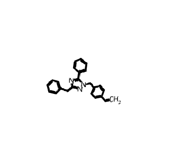 C=Cc1ccc(Cn2nc(Cc3ccccc3)nc2-c2ccccc2)cc1